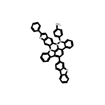 Cc1ccc(N2B3c4cc5cc(-c6ccccc6)oc5cc4-n4c5ccccc5c5c(-c6ccc7c(c6)oc6ccccc67)cc(c3c54)-c3ccccc32)cc1